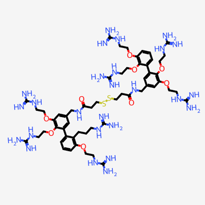 N=C(N)NCCCc1c(OCCNC(=N)N)cccc1-c1cc(CNC(=O)CCSSCCC(=O)NCc2cc(OCCNC(=N)N)c(OCCNC(=N)N)c(-c3cccc(OCCNC(=N)N)c3OCCNC(=N)N)c2)cc(OCCNC(=N)N)c1OCCNC(=N)N